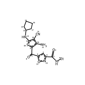 CCNC(=O)c1cc(C(=O)c2sc(NC3CCCC3)c(C#N)c2N)on1